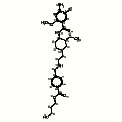 COc1nc(N)c(Cl)cc1C(=O)N[C@@H]1CCN(CCNCc2ccc(C(=O)OCCCO)cc2)C[C@@H]1OC